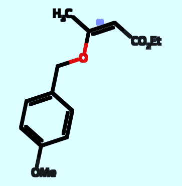 CCOC(=O)/C=C(/C)OCc1ccc(OC)cc1